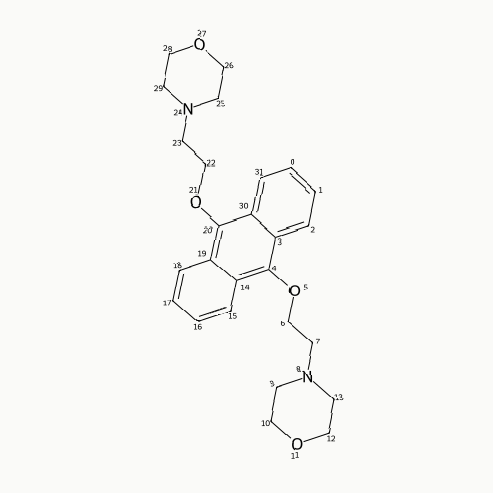 c1ccc2c(OCCN3CCOCC3)c3ccccc3c(OCCN3CCOCC3)c2c1